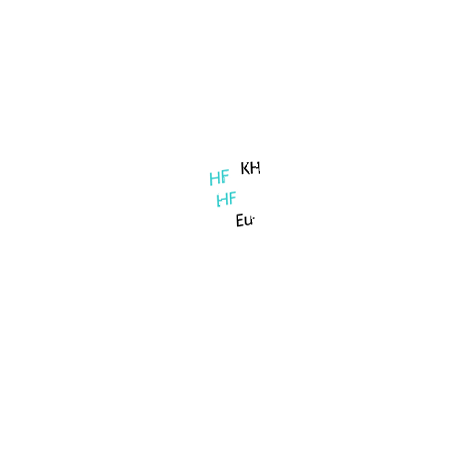 F.F.[Eu].[KH]